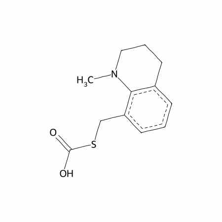 CN1CCCc2cccc(CSC(=O)O)c21